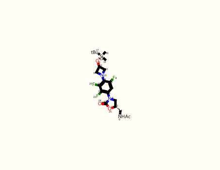 CC(=O)NC[C@H]1CN(c2cc(F)c(N3CC(O[Si](C)(C)C(C)(C)C)C3)c(F)c2F)C(=O)O1